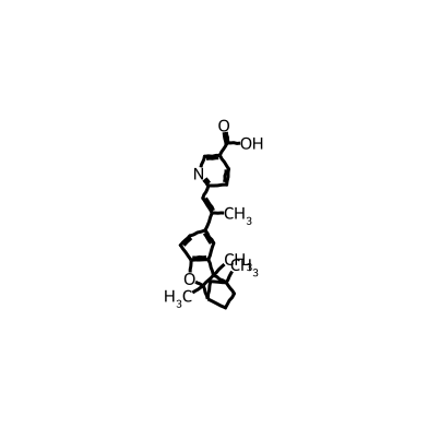 C/C(=C\c1ccc(C(=O)O)cn1)c1ccc2c(c1)C1(C)C3(C)CCC(C3)C1(C)O2